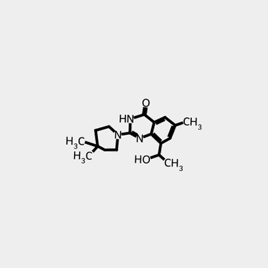 Cc1cc(C(C)O)c2nc(N3CCC(C)(C)CC3)[nH]c(=O)c2c1